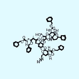 C[C@H](C(=O)C[C@@H]1C[C@H](C)[C@@H](O[C@H]2O[C@H](CN=[N+]=[N-])C[C@@H](O)[C@H]2NC(=O)OCc2ccccc2)[C@H](O[C@@H]2O[C@H](CO)[C@@H](O[C@H]3O[C@H]4CCC(c5ccccc5)O[C@H]4[C@H](O)[C@H]3NC(=O)OCc3ccccc3)[C@H]2O)[C@H]1O)[C@@H](CNC(=O)OCc1ccccc1)OCc1ccccc1